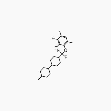 Cc1cc(C)c(OC(F)(F)C2CCC(C3CCC(C)CC3)CC2)c(F)c1F